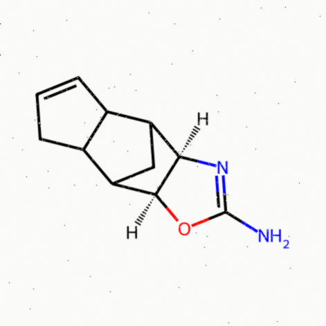 NC1=N[C@@H]2C3CC(C4CC=CC43)[C@@H]2O1